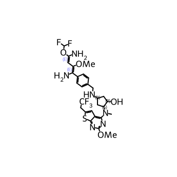 COC(/C=C(\N)OC(F)F)=C(/N)c1ccc(CN[C@H]2C[C@@H](O)[C@@H](N(C)c3nc(OC)nc4sc(CC(F)(F)F)cc34)C2)cc1